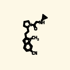 Cn1c(CCC2CCCN2C(=O)CNC2CC2)cc2ccc(C#N)cc21